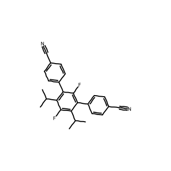 CC(C)c1c(F)c(C(C)C)c(-c2ccc(C#N)cc2)c(F)c1-c1ccc(C#N)cc1